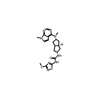 COc1nsc(NC(=O)N[C@@H]2CC3C[C@H](N(C)c4ncnc5c4ccn5C)C[C@H]3C2)n1